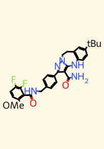 COc1ccc(F)c(F)c1C(=O)NCc1ccc(-c2nn3c(c2C(N)=O)Nc2ccc(C(C)(C)C)cc2CC3)cc1